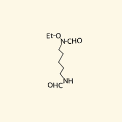 CCON(C=O)CCCCCNC=O